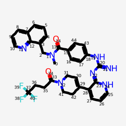 CN(Cc1cccc2cccnc12)C(=O)c1ccc(NC(=N)/N=c2\[nH]cccc2C2=CCN(C(=O)CCC(F)(F)F)CC2)cc1